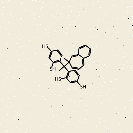 CC1(C(C)(c2ccc(S)cc2S)c2ccc(S)cc2S)C=CC=c2ccccc2=C1